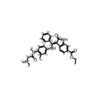 CCOC(=O)c1ccc2c(c1)NC(=O)/C2=C(/Nc1ccc(N(C)C(=O)CN(C)C)c(C)c1)c1ccccc1